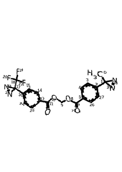 CC1(c2ccc(C(=O)OCOC(=O)c3ccc(C4(C(F)(F)F)N=N4)cc3)cc2)N=N1